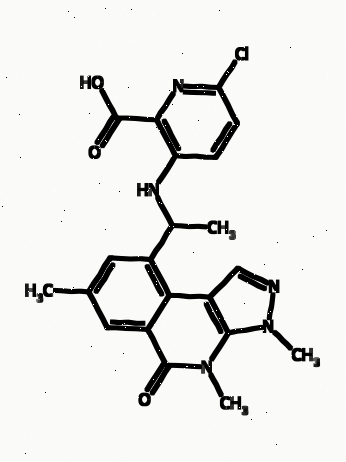 Cc1cc(C(C)Nc2ccc(Cl)nc2C(=O)O)c2c(c1)c(=O)n(C)c1c2cnn1C